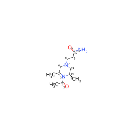 CC(=O)N1C(C)CN(C[CH]C(N)=O)C[C@H]1C